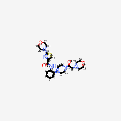 O=C(Nc1ccccc1N1CCN(C(=O)CN2CCOCC2)CC1)c1csc(N2CCOCC2)n1